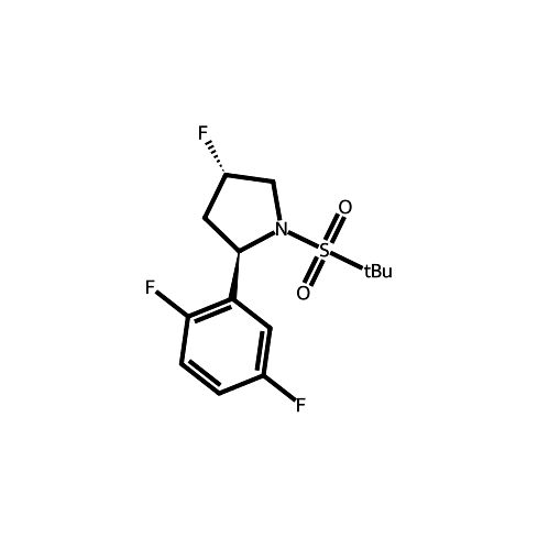 CC(C)(C)S(=O)(=O)N1C[C@@H](F)C[C@@H]1c1cc(F)ccc1F